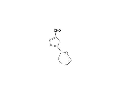 O=Cc1ccc(C2CCCCO2)s1